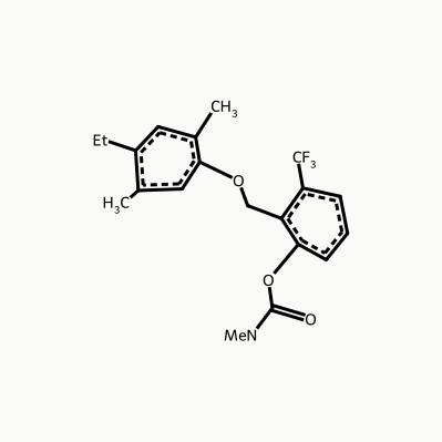 CCc1cc(C)c(OCc2c(OC(=O)NC)cccc2C(F)(F)F)cc1C